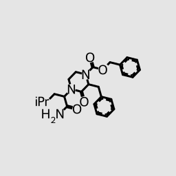 CC(C)CC(C(N)=O)N1CCN(C(=O)OCc2ccccc2)C(Cc2ccccc2)C1=O